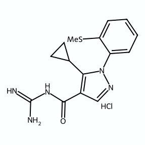 CSc1ccccc1-n1ncc(C(=O)NC(=N)N)c1C1CC1.Cl